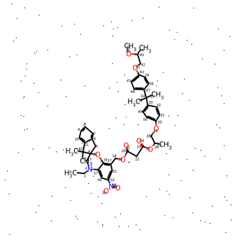 CCN1CC2(Cc3ccccc3C2(C)C)Oc2c(COC(=O)CC(=O)OC(C)COc3ccc(C(C)(C)c4ccc(OCC(C)OC)cc4)cc3)cc([N+](=O)[O-])cc21